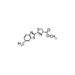 COC(=O)C1CSC(c2nc3ccc(C)cc3s2)=N1